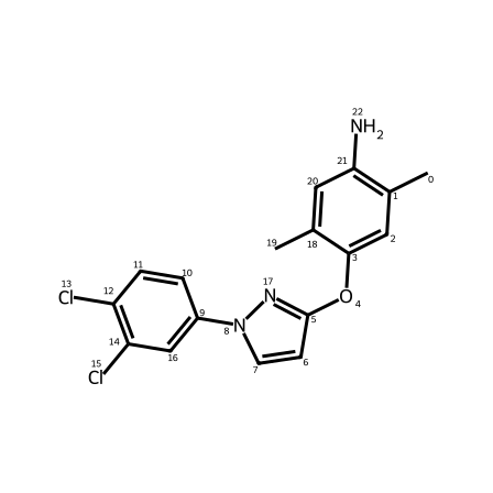 Cc1cc(Oc2ccn(-c3ccc(Cl)c(Cl)c3)n2)c(C)cc1N